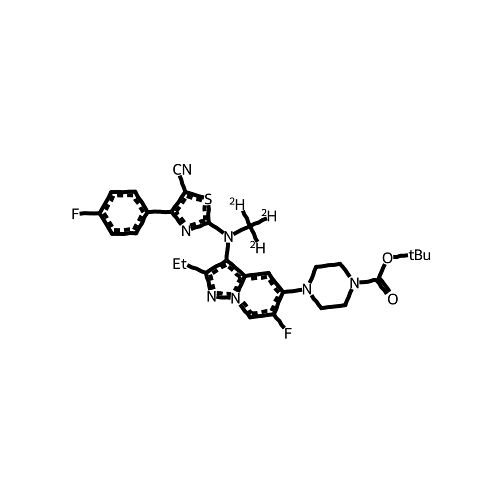 [2H]C([2H])([2H])N(c1nc(-c2ccc(F)cc2)c(C#N)s1)c1c(CC)nn2cc(F)c(N3CCN(C(=O)OC(C)(C)C)CC3)cc12